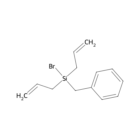 C=CC[Si](Br)(CC=C)Cc1ccccc1